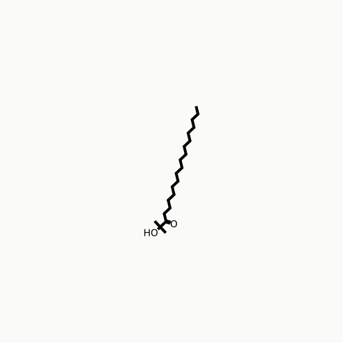 CCCCCCCCCCCCCCCCCC(=O)C(C)(C)O